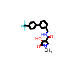 CN1CC(C(=O)NCc2cccc(-c3ccc(C(F)(F)F)cc3)c2)=C(O)C1=O